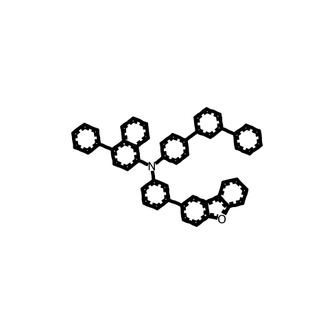 c1ccc(-c2cccc(-c3ccc(N(c4cccc(-c5ccc6oc7ccccc7c6c5)c4)c4ccc(-c5ccccc5)c5ccccc45)cc3)c2)cc1